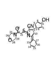 N#Cc1c(-c2ccc(O)cc2)cc(-c2ccccc2)nc1SCC(=O)N1CCOCC1